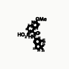 COc1ccc2c(n1)CCN(C(=O)O)[C@@H]2C(=O)Nc1cc(F)c2c(c1)CCC2(C)C